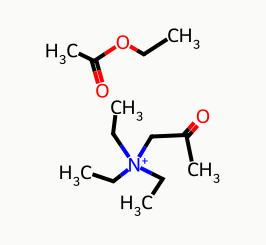 CCOC(C)=O.CC[N+](CC)(CC)CC(C)=O